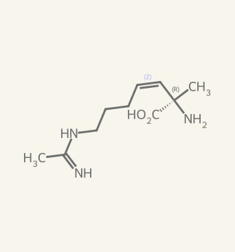 CC(=N)NCCC/C=C\[C@@](C)(N)C(=O)O